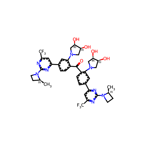 C[C@H]1CCN1c1nc(-c2ccc(C(=O)c3ccc(-c4cc(C(F)(F)F)nc(N5CC[C@@H]5C)n4)cc3N3C[C@@H](O)[C@@H](O)C3)c(N3C[C@@H](O)[C@@H](O)C3)c2)cc(C(F)(F)F)n1